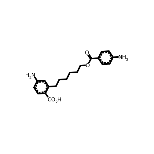 Nc1ccc(C(=O)OCCCCCCc2cc(N)ccc2C(=O)O)cc1